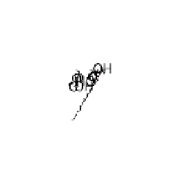 CCCCC(CC)(OOC(C)(C)CC)C(=O)O.CCCCCCCCCCCCCCCCCCC(Cc1cc(C(C)(C)C)c(O)c(C(C)(C)C)c1)C(=O)O